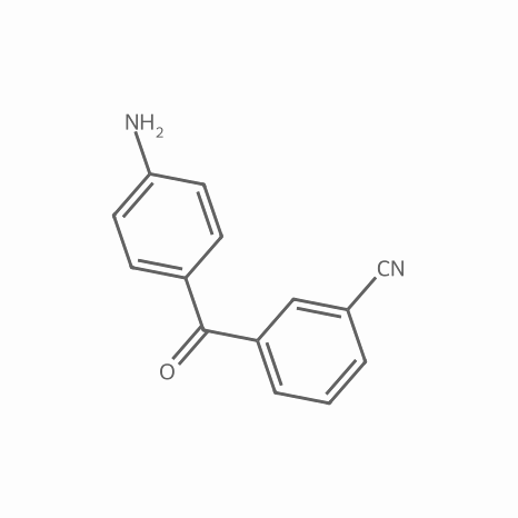 N#Cc1cccc(C(=O)c2ccc(N)cc2)c1